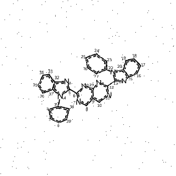 c1ccc(-n2c(-c3ncc4cnc(-c5nc6ccccc6n5-c5ccccc5)nc4n3)nc3ccccc32)cc1